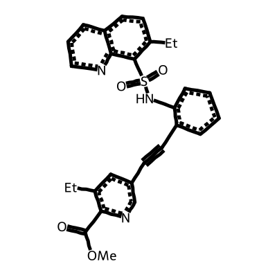 CCc1cc(C#Cc2ccccc2NS(=O)(=O)c2c(CC)ccc3cccnc23)cnc1C(=O)OC